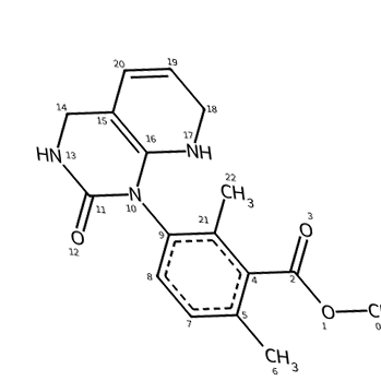 COC(=O)c1c(C)ccc(N2C(=O)NCC3=C2NCC=C3)c1C